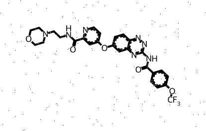 O=C(Nc1nnc2ccc(Oc3ccnc(C(=O)NCCN4CCOCC4)c3)cc2n1)c1ccc(OC(F)(F)F)cc1